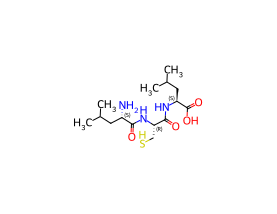 CC(C)C[C@H](NC(=O)[C@H](CS)NC(=O)[C@@H](N)CC(C)C)C(=O)O